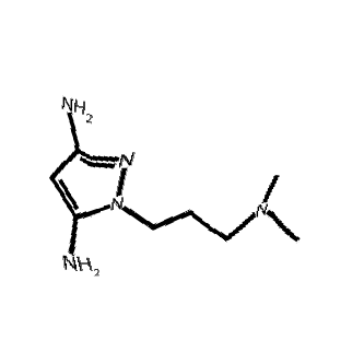 CN(C)CCCn1nc(N)cc1N